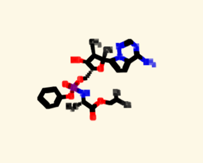 CCC(CC)COC(=O)[C@H](C)NP(=O)(OC[C@H]1O[C@@](C#N)(c2ccc3c(N)ncnn23)[C@H](C)[C@@H]1O)Oc1ccccc1